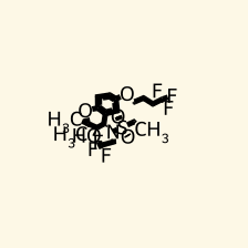 CCS(=O)(=O)N(CC(F)(F)F)[C@H]1c2cc(OCCCC(F)(F)F)ccc2OC(C)(C)[C@@H]1O